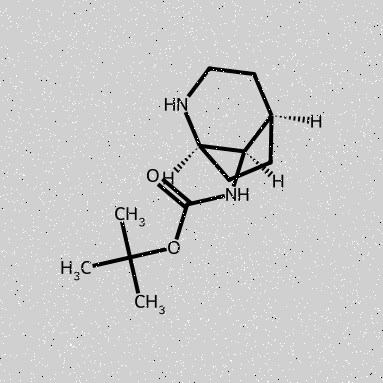 CC(C)(C)OC(=O)N[C@@H]1[C@H]2CCN[C@@H]1CC2